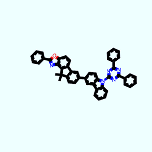 CC1(C)c2ccc(-c3ccc4c(c3)c3ccccc3n4-c3nc(-c4ccccc4)nc(-c4ccccc4)n3)cc2-c2ccc3oc(-c4ccccc4)nc3c21